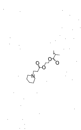 CC(I)C(=O)OCCOC(=O)CCN1CCCCC1